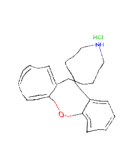 Cl.c1ccc2c(c1)Oc1ccccc1C21CCNCC1